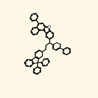 C1=CC(CCC(C2=CC=C(c3ccccc3)CC2)c2ccc3oc4cc(-c5ccccc5)c5ccccc5c4c3c2)CC2=C1c1ccccc1C2(c1ccccc1)c1ccccc1